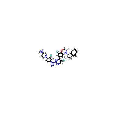 CN(C)C1CCN(c2ccc(Nc3ncc(F)c(-c4cc(F)c5c(c4)N(C4CCc6ccccc64)CCO5)n3)cc2F)CC1